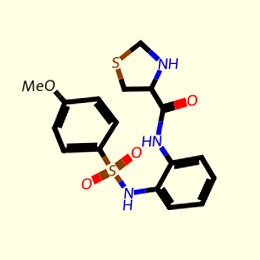 COc1ccc(S(=O)(=O)Nc2ccccc2NC(=O)C2CSCN2)cc1